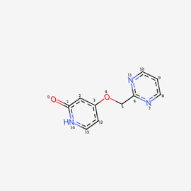 O=c1cc(OCc2ncccn2)cc[nH]1